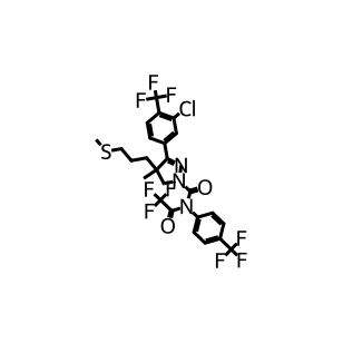 CSCCCC1(C)CN(C(=O)N(C(=O)C(F)(F)F)c2ccc(C(F)(F)F)cc2)N=C1c1ccc(C(F)(F)F)c(Cl)c1